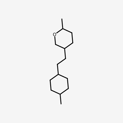 CC1CCC(CCC2CCC(C)OC2)CC1